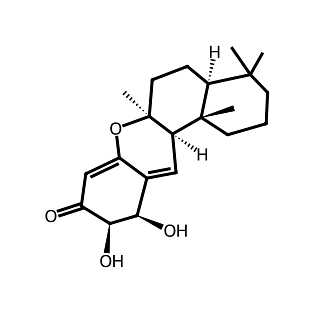 CC1(C)CCC[C@]2(C)[C@H]3C=C4C(=CC(=O)[C@H](O)[C@@H]4O)O[C@@]3(C)CC[C@@H]12